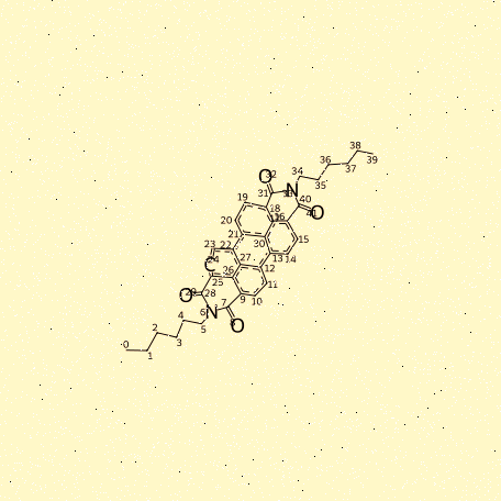 CCCCCCN1C(=O)c2ccc3c4ccc5c6c(ccc(c7ccc(c2c37)C1=O)c64)C(=O)N(CCCCCC)C5=O